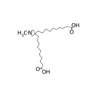 CN1CC(CCCCCCCCCC(=O)O)(CCCCCCCCCC(=O)O)C1